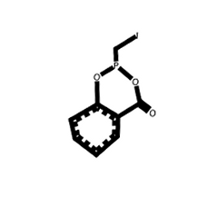 O=C1OP(CI)Oc2ccccc21